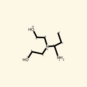 CCC(N)N(CCO)CCO